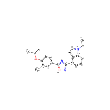 CC(Oc1ccc(-c2nc(-c3cccc4c3ccn4CC#N)no2)cc1C(F)(F)F)C(F)(F)F